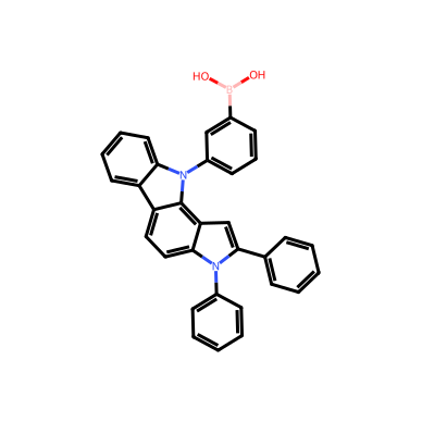 OB(O)c1cccc(-n2c3ccccc3c3ccc4c(cc(-c5ccccc5)n4-c4ccccc4)c32)c1